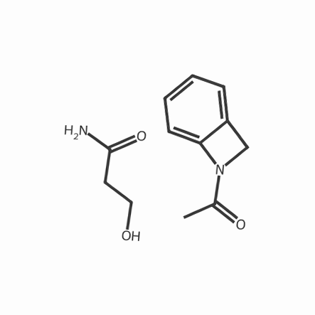 CC(=O)N1Cc2ccccc21.NC(=O)CCO